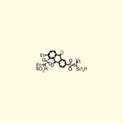 CCc1ccc2c(c1S(=O)(=O)N(CC)S(=O)(=O)O)C(=O)c1ccc(S(=O)(=O)N(CC)S(=O)(=O)O)cc1C2=O